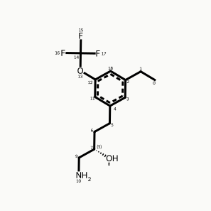 CCc1cc(CC[C@H](O)CN)cc(OC(F)(F)F)c1